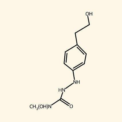 CN(O)C(=O)NNc1ccc(CCO)cc1